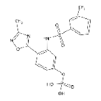 Cc1noc(-c2ccc(OP(=O)(O)O)cc2NS(=O)(=O)c2cccc(C(F)(F)F)c2)n1